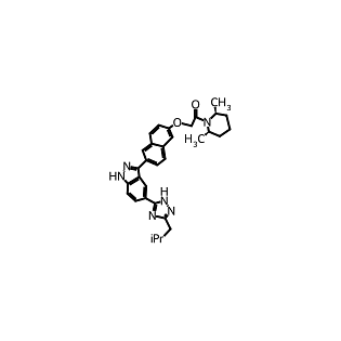 CC(C)Cc1n[nH]c(-c2ccc3[nH]nc(-c4ccc5cc(OCC(=O)N6[C@H](C)CCC[C@@H]6C)ccc5c4)c3c2)n1